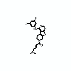 CN(C)C/C=C/C(=O)N1CCc2c(sc3ncnc(Nc4cc(F)cc(Cl)c4)c23)C1